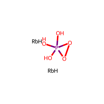 OP1(O)(O)OO1.[RbH].[RbH]